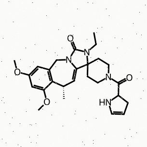 CCN1C(=O)N2Cc3cc(OC)cc(OC)c3[C@@H](C)C=C2C12CCN(C(=O)C1CC=CN1)CC2